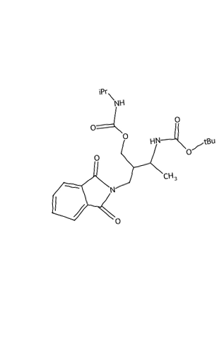 CC(C)NC(=O)OCC(CN1C(=O)c2ccccc2C1=O)C(C)NC(=O)OC(C)(C)C